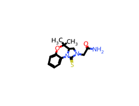 CC1(C)Oc2ccccc2N2C(=S)N(CC(N)=O)CC21